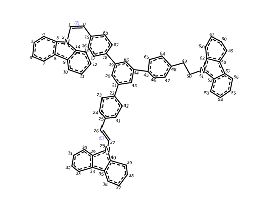 C(=C/n1c2ccccc2c2ccccc21)/c1ccc(-c2cc(-c3ccc(/C=C/n4c5ccccc5c5ccccc54)cc3)cc(-c3ccc(CCn4c5ccccc5c5ccccc54)cc3)c2)cc1